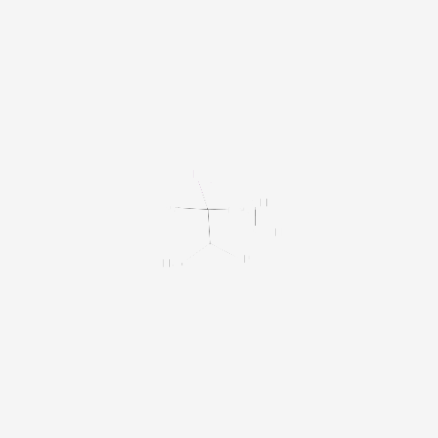 CCCCCCC(CCCC)C(P)(CCCC)CCCC.CS(=O)(=O)O